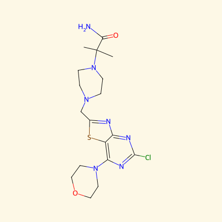 CC(C)(C(N)=O)N1CCN(Cc2nc3nc(Cl)nc(N4CCOCC4)c3s2)CC1